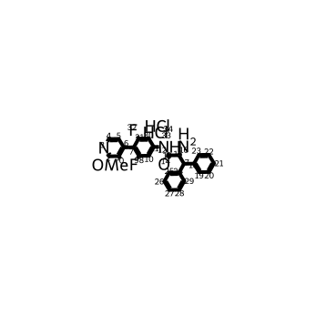 COc1cnccc1-c1c(F)cc(NC(=O)C(N)C(c2ccccc2)c2ccccc2)cc1F.Cl.Cl